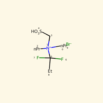 CCC[N+](CCC)(CS(=O)(=O)O)C(F)(F)CC.[Br-]